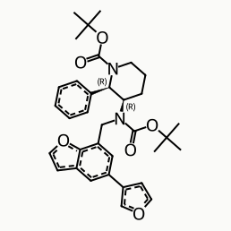 CC(C)(C)OC(=O)N(Cc1cc(-c2ccoc2)cc2ccoc12)[C@@H]1CCCN(C(=O)OC(C)(C)C)[C@@H]1c1ccccc1